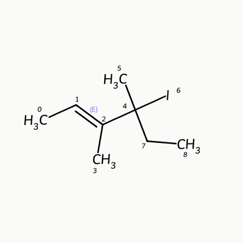 C/C=C(\C)C(C)(I)CC